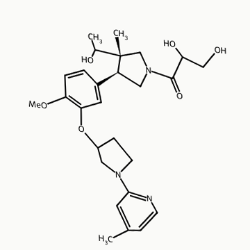 COc1ccc([C@@H]2CN(C(=O)C(O)CO)C[C@@]2(C)C(C)O)cc1OC1CCN(c2cc(C)ccn2)C1